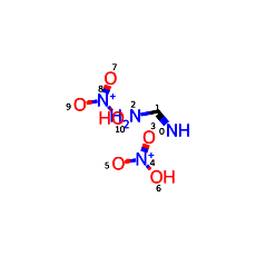 N=CN.O=[N+]([O-])O.O=[N+]([O-])O